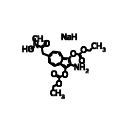 CCOC(=O)Oc1c2ccc(CC(=O)N(C)O)ccc-2c(OC(=O)OCC)c1N.[NaH]